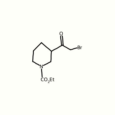 CCOC(=O)N1CCCC(C(=O)CBr)C1